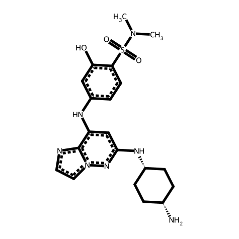 CN(C)S(=O)(=O)c1ccc(Nc2cc(N[C@H]3CC[C@@H](N)CC3)nn3ccnc23)cc1O